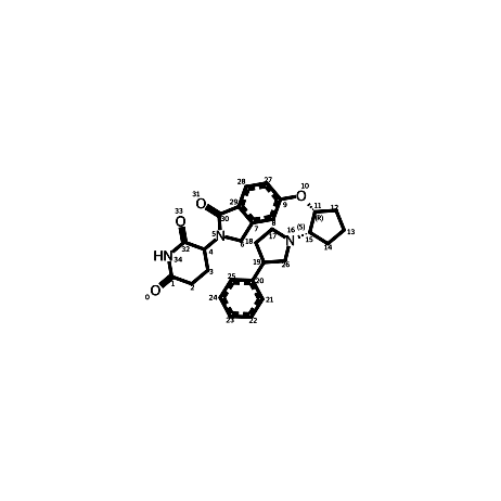 O=C1CCC(N2Cc3cc(O[C@@H]4CCC[C@@H]4N4CCC(c5ccccc5)C4)ccc3C2=O)C(=O)N1